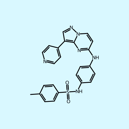 Cc1ccc(S(=O)(=O)Nc2ccc(Nc3ccn4ncc(-c5ccncc5)c4n3)cc2)cc1